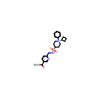 COC(=O)c1ccc(CNS(=O)(=O)C2CC[N+](c3ccccc3)(C3CCC3)CC2)nc1